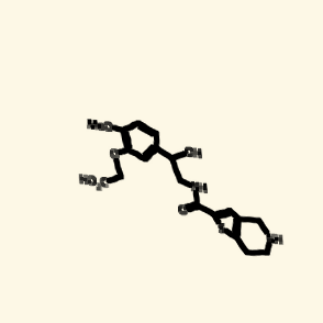 COc1ccc(C(O)CNC(=O)c2cc3c(s2)CCNC3)cc1OCC(=O)O